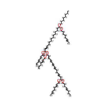 CCCCCCCCOC(CCCCCCCCCCCC=CC(OCCCCCCC)OC(C=CCCCCCCCCCCCC(OCCCCCCCC)OCCCCCCCC)OCCCCCCC)OCCCCCCCC